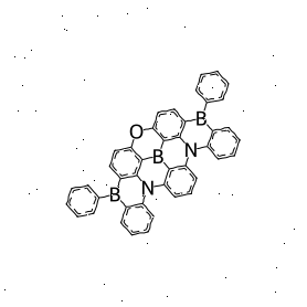 c1ccc(B2c3ccccc3N3c4cccc5c4B4c6c(ccc2c63)Oc2ccc3c(c24)N5c2ccccc2B3c2ccccc2)cc1